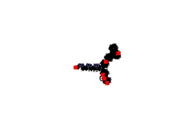 C=C/C=C\C(=C)C(=C)/C=C\C(=C)C(=C)/C=C\C(=C)N(c1ccc(-c2ccc3c(c2)c2cccc4c5ccccc5n3c42)cc1)c1ccc2c(c1)oc1ccccc12